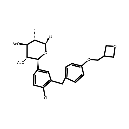 CC[C@H]1O[C@@H](c2ccc(Cl)c(Cc3ccc(OCC4COC4)cc3)c2)[C@H](OC(C)=O)[C@@H](OC(C)=O)[C@@H]1C